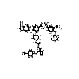 C=C(CCC1(CCc2ccc(Cl)cc2)CCC1)CN1CCN(c2cc(C(=O)N[S+]([O-])c3ccc(C[C@H]4COCCO4)c([N+](=O)[O-])c3)ncc2Oc2cnc3[nH]ccc3c2)CC1